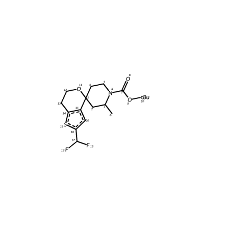 CC1CC2(CCN1C(=O)OC(C)(C)C)OCCc1sc(C(F)F)cc12